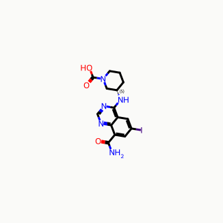 NC(=O)c1cc(I)cc2c(N[C@H]3CCCN(C(=O)O)C3)ncnc12